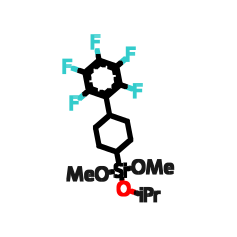 CO[Si](OC)(OC(C)C)C1CCC(c2c(F)c(F)c(F)c(F)c2F)CC1